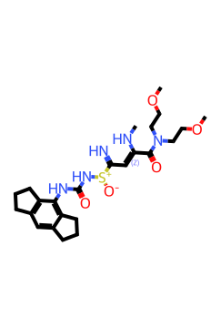 CN/C(=C\C(=N)[S+]([O-])NC(=O)Nc1c2c(cc3c1CCC3)CCC2)C(=O)N(CCOC)CCOC